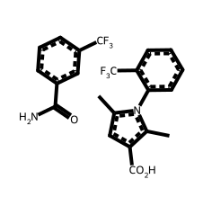 Cc1cc(C(=O)O)c(C)n1-c1ccccc1C(F)(F)F.NC(=O)c1cccc(C(F)(F)F)c1